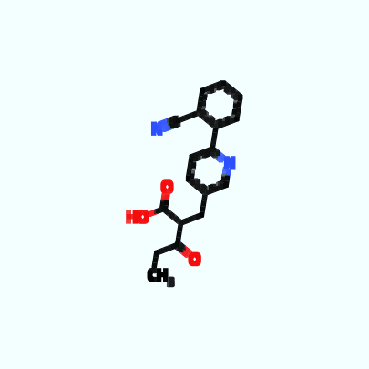 CCC(=O)C(Cc1ccc(-c2ccccc2C#N)nc1)C(=O)O